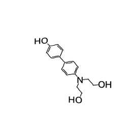 OCCN(CCO)c1ccc(-c2ccc(O)cc2)cc1